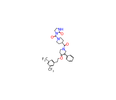 O=C(C1CCN(C(=O)N2CCNC2=O)CC1)N1CC[C@H](OCCc2cc(C(F)(F)F)cc(C(F)(F)F)c2)[C@H](c2ccccc2)C1